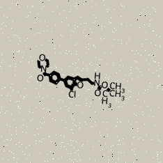 CC(C)(C)OC(=O)NCCc1cc2cc(-c3ccc(C(=O)N4CCOCC4)cc3)cc(Cl)c2o1